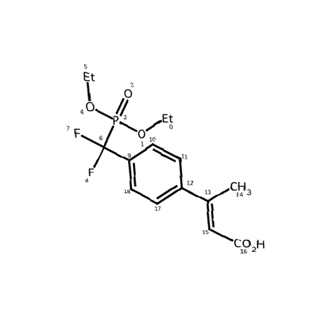 CCOP(=O)(OCC)C(F)(F)c1ccc(/C(C)=C/C(=O)O)cc1